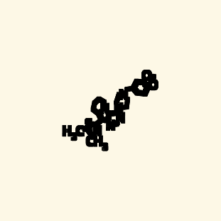 Cc1nc(-c2c3n(c4c(N5CCN(Cc6ccc7c(c6)OCO7)CC5)ncnc24)CCCC3)sc1C